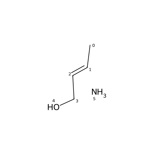 CC=CCO.N